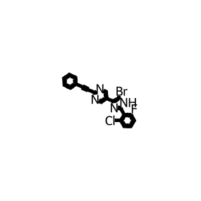 Fc1cccc(Cl)c1-c1nc(-c2cnc(C#Cc3ccccc3)nc2)c(Br)[nH]1